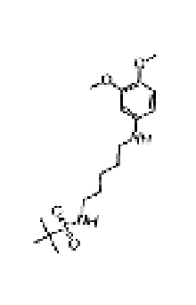 COc1ccc(NCCCCCNS(=O)(=O)C(C)(C)C)cc1OC